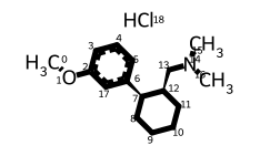 COc1cccc([C@@H]2CCCC[C@@H]2CN(C)C)c1.Cl